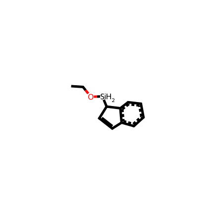 CCO[SiH2]C1C=Cc2ccccc21